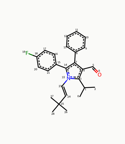 CC(C)c1c(C=O)c(-c2ccccc2)c(-c2ccc(F)cc2)n1/C=C/C(C)(C)C